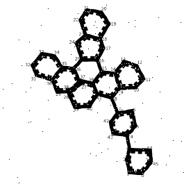 c1ccc(-c2ccc(-c3c4ccccc4c(-c4cc5ccccc5cc4-c4cccc5ccccc45)c4ccccc34)cc2)cc1